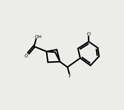 O=C(O)C12CC(C(F)c3cccc(Cl)c3)(C1)C2